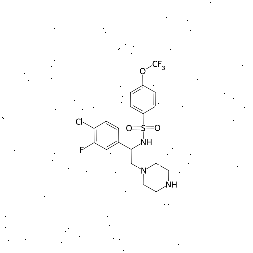 O=S(=O)(NC(CN1CCNCC1)c1ccc(Cl)c(F)c1)c1ccc(OC(F)(F)F)cc1